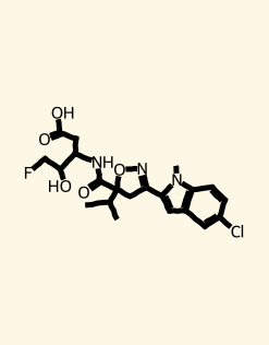 CC(C)C1(C(=O)NC(CC(=O)O)C(O)CF)CC(c2cc3cc(Cl)ccc3n2C)=NO1